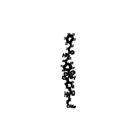 COCCNC(=O)c1ccc(C(=O)NS(=O)(=O)c2ccc(CCNC(=O)CCc3ccccc3)cc2)cn1